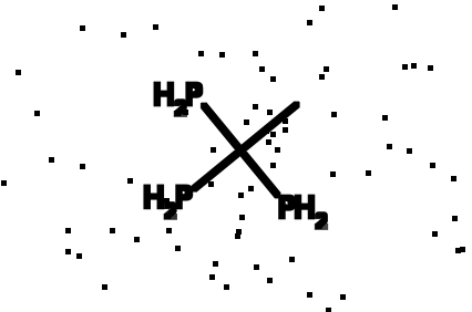 CC(P)(P)P